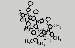 Cc1ccc(N(c2cc(C)cc(C)c2)c2cc(C)c3cc(N(c4ccc(C)cc4)c4cc(C)cc(CC5CCCCC5c5ccc(N(c6cc(C)cc(C)c6)c6cc(C7CCCCC7)c7cc(N(c8ccc(C9CCCCC9)cc8)c8cc(C)cc(C)c8)cc(C8CCCCC8)c7c6)cc5)c4)cc(C)c3c2)cc1